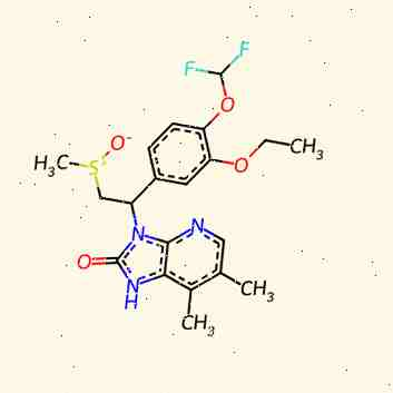 CCOc1cc(C(C[S+](C)[O-])n2c(=O)[nH]c3c(C)c(C)cnc32)ccc1OC(F)F